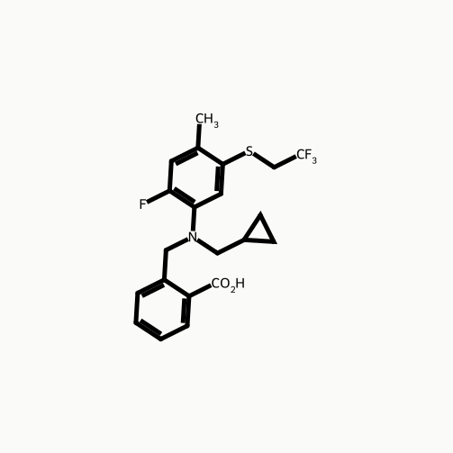 Cc1cc(F)c(N(Cc2ccccc2C(=O)O)CC2CC2)cc1SCC(F)(F)F